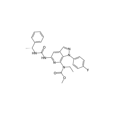 CCN(C(=O)OC)c1nc(NC(=O)N[C@H](C)c2ccccc2)cc2cnn(-c3ccc(F)cc3)c12